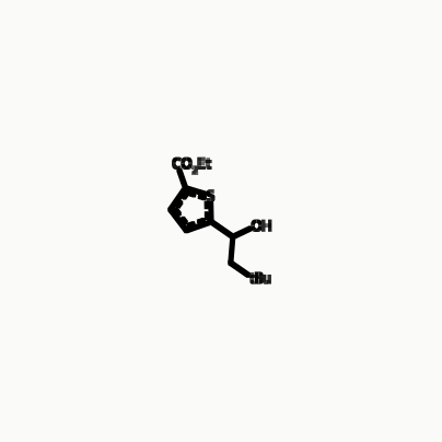 CCOC(=O)c1ccc(C(O)CC(C)(C)C)s1